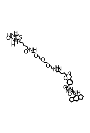 CN(Cc1ccc([S@](N)(=O)=NC(=O)Nc2c3c(cc4c2CCC4)CCC3)cc1)C(=O)CCc1cn(CCOCCOCCOCCNC(=O)CCCC[C@@H]2SC[C@@H]3NC(=O)N[C@@H]32)nn1